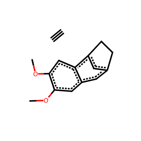 C#C.COc1cc2cc3cc(c2cc1OC)CC3